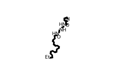 CC/C=C\C/C=C\C/C=C\C/C=C\C/C=C\C/C=C\CCC(=O)NCCNCCNC(=O)c1cccnc1